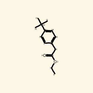 CCOC(=O)[CH]c1ccc(C(C)(C)C)cc1